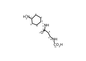 N[C@H]1CC[C@H](NC(=O)CCNC(=O)O)CC1